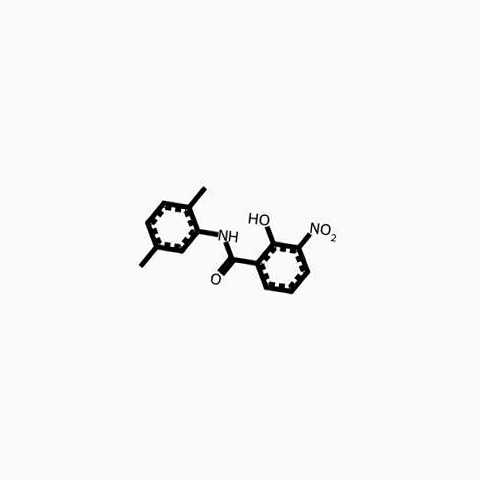 Cc1ccc(C)c(NC(=O)c2cccc([N+](=O)[O-])c2O)c1